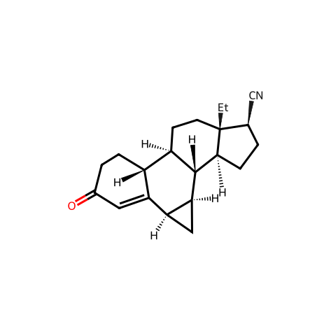 CC[C@]12CC[C@H]3[C@@H]([C@H]4C[C@H]4C4=CC(=O)CC[C@@H]43)[C@@H]1CC[C@@H]2C#N